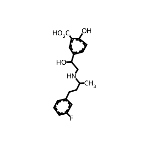 CC(CCc1cccc(F)c1)NCC(O)c1ccc(O)c(C(=O)O)c1